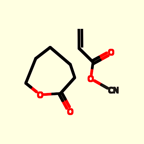 C=CC(=O)OC#N.O=C1CCCCCO1